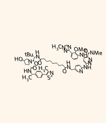 CNC(=O)c1nnc(Nc2ccc(CNC(=O)CCCCCCCC(=O)N[C@H](C(=O)N3C[C@H](O)C[C@H]3C(=O)N[C@@H](C)c3ccc(-c4scnc4C)cc3)C(C)(C)C)cn2)cc1Nc1cccc(-c2ncn(C)n2)c1OC